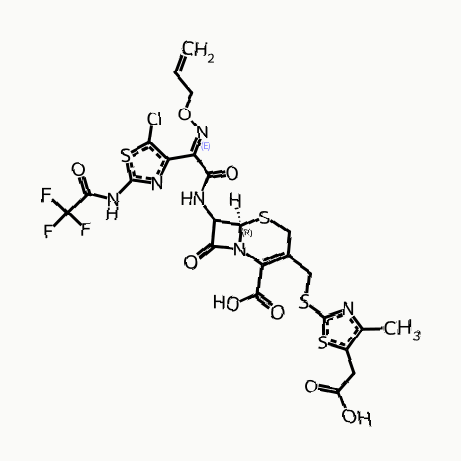 C=CCO/N=C(/C(=O)NC1C(=O)N2C(C(=O)O)=C(CSc3nc(C)c(CC(=O)O)s3)CS[C@H]12)c1nc(NC(=O)C(F)(F)F)sc1Cl